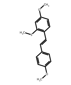 COc1ccc(C=Cc2ccc(OC)cc2SC)cc1